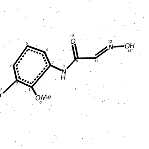 COc1c(Br)cccc1NC(=O)C=NO